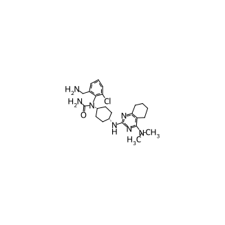 CN(C)c1nc(N[C@H]2CC[C@@H](N(C(N)=O)c3c(Cl)cccc3CN)CC2)nc2c1CCCC2